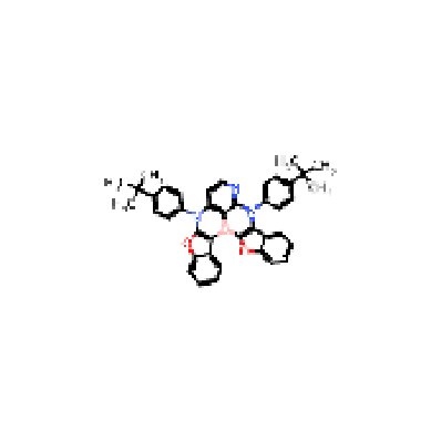 CC(C)(C)c1ccc(N2c3ccnc4c3B(c3oc5ccccc5c3N4c3ccc(C(C)(C)C)cc3)c3c2oc2ccccc32)cc1